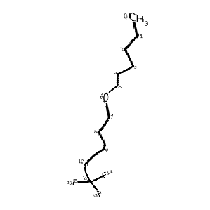 CCCCCCOCCC[CH]C(F)(F)F